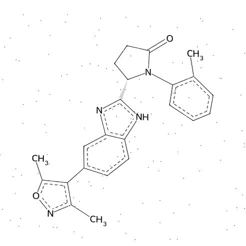 Cc1ccccc1N1C(=O)CC[C@H]1c1nc2cc(-c3c(C)noc3C)ccc2[nH]1